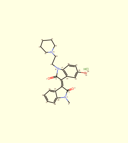 CN1C(=O)/C(=C2/C(=O)N(CCN3CCCCC3)c3ccc(Br)cc32)c2ccccc21.Cl